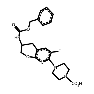 O=C(NC1COc2nc(N3CCN(C(=O)O)CC3)c(F)cc2C1)OCc1ccccc1